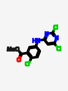 COC(=O)c1cc(Nc2cc(Cl)nc(Cl)n2)ccc1Cl